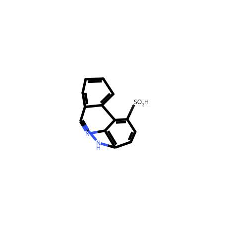 O=S(=O)(O)c1ccc2[nH]c3nc2c1c1ccccc31